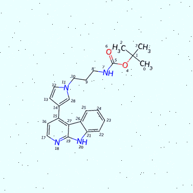 CC(C)(C)OC(=O)NCCCn1ccc(-c2ccnc3[nH]c4ccccc4c23)c1